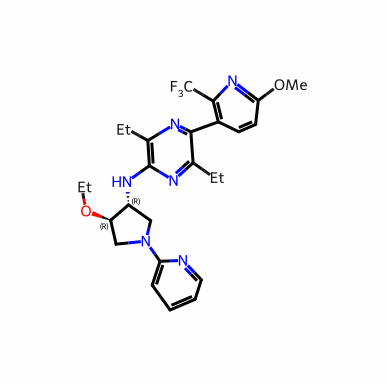 CCO[C@@H]1CN(c2ccccn2)C[C@H]1Nc1nc(CC)c(-c2ccc(OC)nc2C(F)(F)F)nc1CC